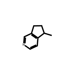 CC1CCc2cnccc21